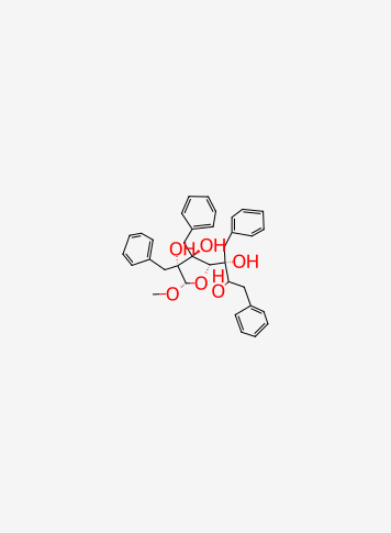 CO[C@H]1O[C@@H]([C@@](O)(Cc2ccccc2)C(O)Cc2ccccc2)[C@@](O)(Cc2ccccc2)[C@]1(O)Cc1ccccc1